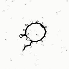 CCCC1CCCCC=CCCCCC(=O)O1